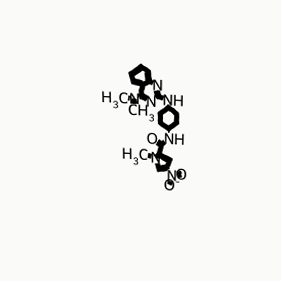 CN(C)c1nc(N[C@H]2CC[C@@H](NC(=O)c3cc([N+](=O)[O-])cn3C)CC2)nc2ccccc12